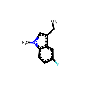 CCc1cn(C)c2ccc(F)cc12